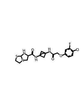 O=C(COc1ccc(Cl)c(F)c1)NC12CC(NC(=O)C3CN4CCSC4N3)(C1)C2